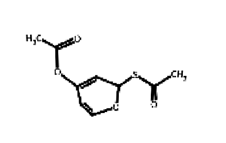 CC(=O)OC1=CC(SC(C)=O)OC=C1